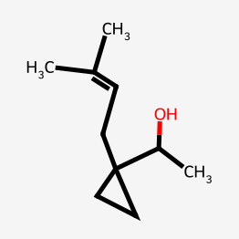 CC(C)=CCC1(C(C)O)CC1